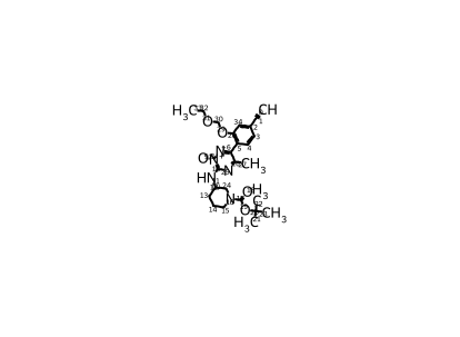 C#Cc1ccc(-c2n[n+]([O-])c(N[C@@H]3CCCN(C(=O)OC(C)(C)C)C3)nc2C)c(OCOCC)c1